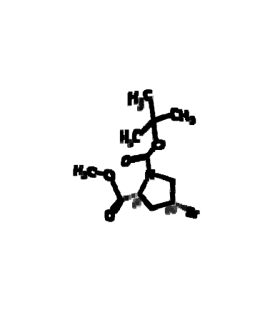 COC(=O)[C@H]1C[C@@H](Br)CN1C(=O)OC(C)(C)C